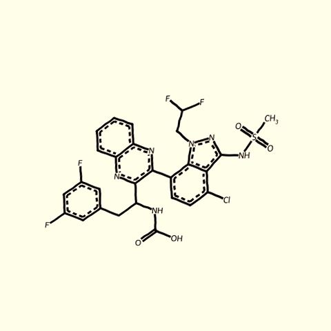 CS(=O)(=O)Nc1nn(CC(F)F)c2c(-c3nc4ccccc4nc3C(Cc3cc(F)cc(F)c3)NC(=O)O)ccc(Cl)c12